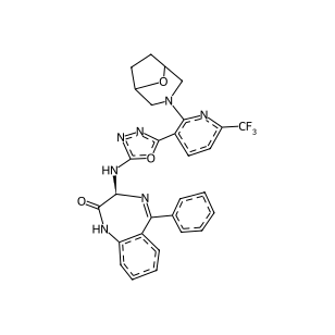 O=C1Nc2ccccc2C(c2ccccc2)=N[C@@H]1Nc1nnc(-c2ccc(C(F)(F)F)nc2N2CC3CCC(C2)O3)o1